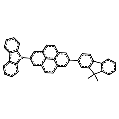 CC1(C)c2ccccc2-c2ccc(-c3cc4ccc5cc(-n6c7ccccc7c7ccccc76)cc6ccc(c3)c4c56)cc21